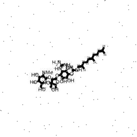 CNC1C(OC2C(OC3C(O)C(O)C(OC(=N)N/C=C(\C)CC/C=C(\C)CCC=C(C)C)C(O)C3NC(=N)N)OC(C)C2(O)CO)OC(CO)C(O)C1O